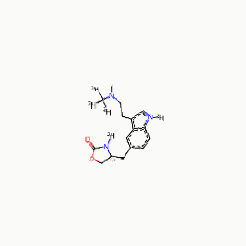 [2H]N1C(=O)OC[C@@H]1Cc1ccc2c(c1)c(CCN(C)C([2H])([2H])[2H])cn2[2H]